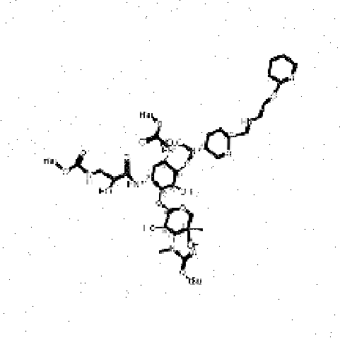 CN(C(=O)OC(C)(C)C)[C@@H]1[C@@H](O)[C@@H](O[C@@H]2[C@H](O)[C@H](ON(C(=O)O)[C@@H]3CC[C@@H](CNCCOC4CCCCO4)OC3)[C@@H](NC(=O)OC(C)(C)C)C[C@H]2NC(=O)C(O)CNC(=O)OC(C)(C)C)OC[C@]1(C)O